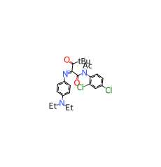 CCN(CC)c1ccc(/N=C(\C(=O)N(C(C)=O)c2ccc(Cl)cc2Cl)C(=O)C(C)(C)C)cc1